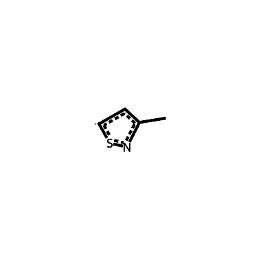 Cc1c[c]sn1